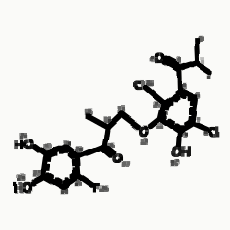 CC(C)C(=O)c1cc(Cl)c(O)c(OCC(C)C(=O)c2cc(O)c(O)cc2F)c1Cl